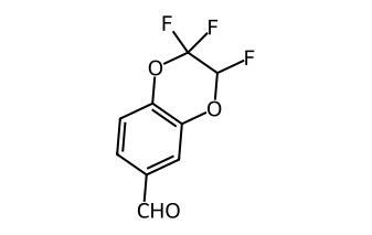 O=Cc1ccc2c(c1)OC(F)C(F)(F)O2